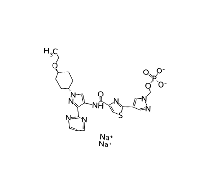 CCO[C@H]1CC[C@H](n2cc(NC(=O)c3csc(-c4cnn(COP(=O)([O-])[O-])c4)n3)c(-c3ncccn3)n2)CC1.[Na+].[Na+]